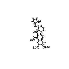 CCOc1cc([C@@H](CC(C)=O)N2C(=O)c3cccc(Cc4ccc[nH]4)c3C2=O)ccc1OC